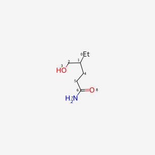 CCC(CO)CCC(N)=O